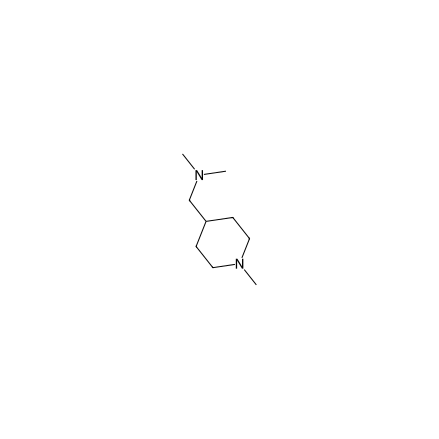 CN(C)CC1CCN(C)CC1